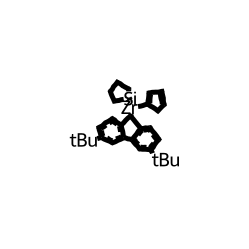 CC(C)(C)c1ccc2c(c1)-c1cc(C(C)(C)C)ccc1[CH]2[Zr]([C]1=CC=CC1)=[Si]1CCCC1